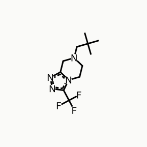 CC(C)(C)CN1CCn2c(nnc2C(F)(F)F)C1